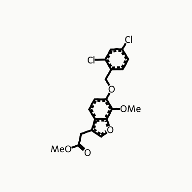 COC(=O)Cc1coc2c(OC)c(OCc3ccc(Cl)cc3Cl)ccc12